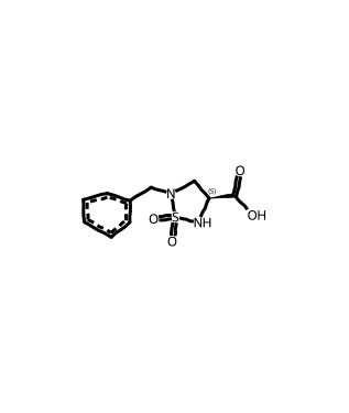 O=C(O)[C@@H]1CN(Cc2ccccc2)S(=O)(=O)N1